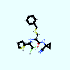 N#CC1(NC(=O)[C@H](CSCc2ccccc2)NC(c2cccs2)C(F)F)CC1